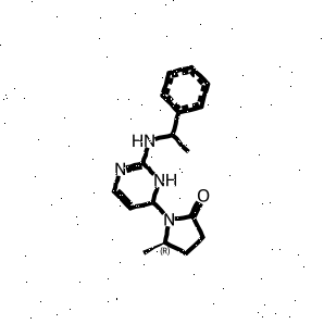 CC(NC1=NC=CC(N2C(=O)CC[C@H]2C)N1)c1ccccc1